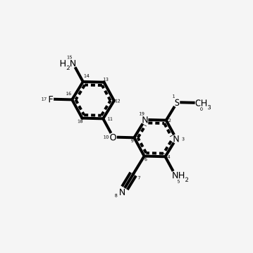 CSc1nc(N)c(C#N)c(Oc2ccc(N)c(F)c2)n1